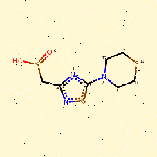 O=S(O)Cc1nsc(N2CCSCC2)n1